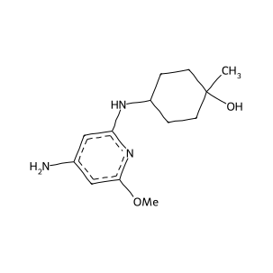 COc1cc(N)cc(NC2CCC(C)(O)CC2)n1